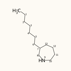 CCCCCCCC1[CH]NCCCC1